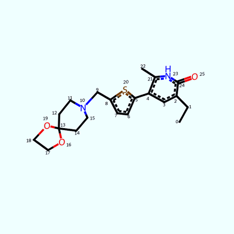 CCc1cc(-c2ccc(CN3CCC4(CC3)OCCO4)s2)c(C)[nH]c1=O